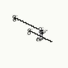 CC(=O)[O-].CC(=O)[O-].CCCCCCCCCCCCCCCCCC(=O)[O-].CCCCCCCCCCCCCCCCCC(=O)[O-].[Ca+2].[Li+].[Na+]